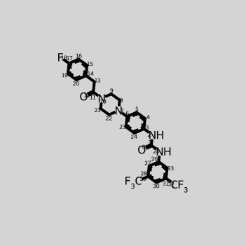 O=C(Nc1ccc(N2CCN(C(=O)Cc3ccc(F)cc3)CC2)cc1)Nc1cc(C(F)(F)F)cc(C(F)(F)F)c1